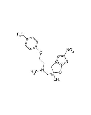 CN(CCOc1ccc(C(F)(F)F)cc1)C[C@@]1(C)Cn2cc([N+](=O)[O-])nc2O1